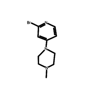 CN1CCN(c2ccnc(Br)c2)CC1